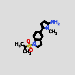 CC(C)S(=O)(=O)N1CCc2cc(-c3ccc(N)n3C)ccc21